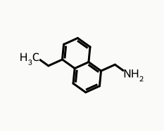 CCc1cccc2c(CN)cccc12